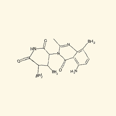 Bc1ccc(N)c2c(=O)n(C3C(=O)NC(=O)C(B)C3B)c(C)nc12